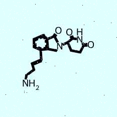 NCC/C=C/c1cccc2c1CN(C1CCC(=O)NC1=O)C2=O